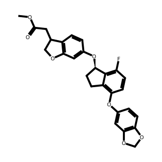 COC(=O)CC1COc2cc(O[C@@H]3CCc4c(Oc5ccc6c(c5)OCO6)ccc(F)c43)ccc21